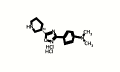 CN(C)c1ccc(-c2noc([C@H]3CCCNC3)n2)cc1.Cl.Cl